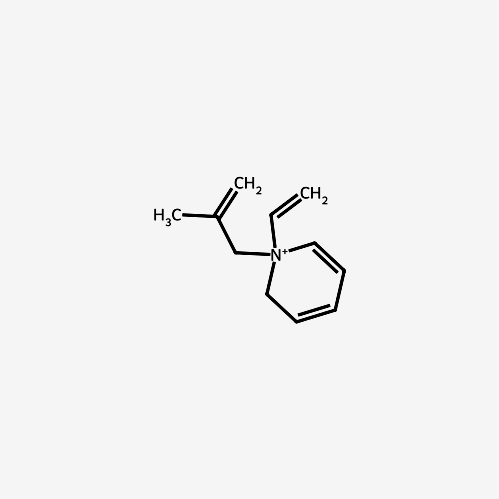 C=C[N+]1(CC(=C)C)C=CC=CC1